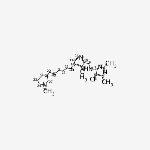 Cc1nc(C)c(Cl)c(NCc2nccc(SCCCSCC3CCCN(C)C3)c2C)n1